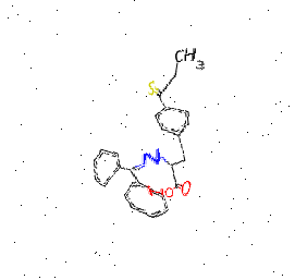 CCC(=S)c1ccc(CC(N=C(c2ccccc2)c2ccccc2)C(=O)O)cc1